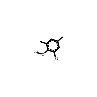 [2H]Oc1c(C)cc(C)cc1CC